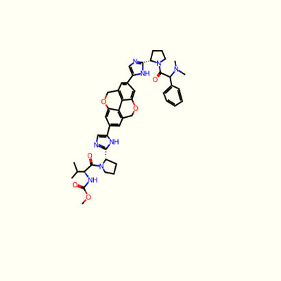 COC(=O)N[C@H](C(=O)N1CCC[C@H]1c1ncc(-c2cc3c4c(c2)OCc2cc(-c5cnc([C@@H]6CCCN6C(=O)C(c6ccccc6)N(C)C)[nH]5)cc(c2-4)OC3)[nH]1)C(C)C